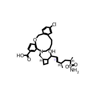 C[C@H](C[C@@H](C)/C=C/C(O)C1CC[C@H]1CN1CCCCc2cc(Cl)ccc2COc2ccc(C(=O)O)cc21)S(N)(=O)=O